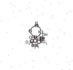 O=[N+]([O-])c1ccc(O)c(-c2c(-c3cc([N+](=O)[O-])ccc3O)c3c(-c4cc([N+](=O)[O-])ccc4O)c4nc(cc5ccc(cc6nc(cc2n3-c2cc([N+](=O)[O-])ccc2O)C=C6)[nH]5)C=C4)c1